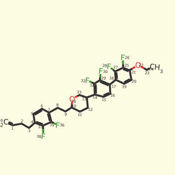 C=CCCc1ccc(CCC2CCC(c3ccc(-c4ccc(OCC)c(F)c4F)c(F)c3F)CO2)c(F)c1F